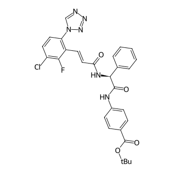 CC(C)(C)OC(=O)c1ccc(NC(=O)[C@@H](NC(=O)/C=C/c2c(-n3cnnn3)ccc(Cl)c2F)c2ccccc2)cc1